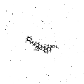 COc1ccc2nccc([C@H](O)CC[C@@H]3CCN(CCSc4ncccc4F)C[C@@H]3C(=O)O)c2c1